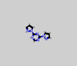 c1cnn(-c2ncnc(-n3cccn3)n2)c1